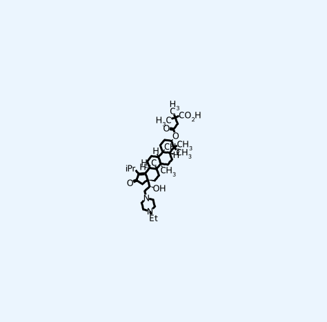 CCN1CCN(C[C@@H](O)[C@@]23CC[C@]4(C)[C@H](CC[C@@H]5[C@@]6(C)CC[C@H](OC(=O)CC(C)(C)C(=O)O)C(C)(C)[C@@H]6CC[C@]54C)C2=C(C(C)C)C(=O)C3)CC1